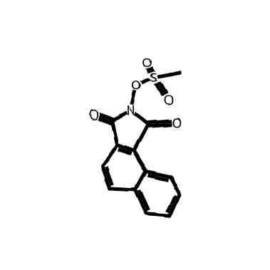 CS(=O)(=O)ON1C(=O)c2ccc3ccccc3c2C1=O